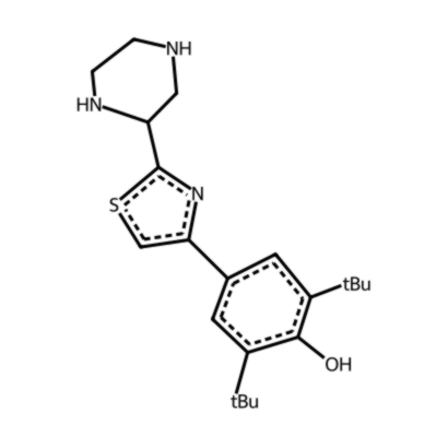 CC(C)(C)c1cc(-c2csc(C3CNCCN3)n2)cc(C(C)(C)C)c1O